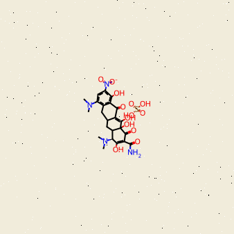 CN(C)c1cc([N+](=O)[O-])c(O)c2c1CC1CC3[C@H](N(C)C)C(O)=C(C(N)=O)C(=O)C3(O)C(O)=C1C2=O.O=S(=O)(O)O